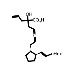 C=CCC(O)(CC=C=CC[C@H]1CCC[C@@H]1C=CCCCCCC)C(=O)O